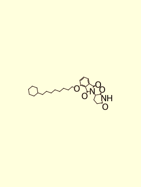 O=C1CCC(N2C(=O)c3cccc(OCCCCCCCCC4CCCCC4)c3C2=O)C(=O)N1